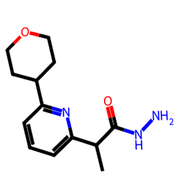 CC(C(=O)NN)c1cccc(C2CCOCC2)n1